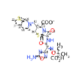 CC(C)(ON=C(C(=O)NC1C(=O)N2C(C(=O)[O-])=C(C[n+]3ccc4ccsc4c3)CS[C@@H]12)c1noc(N)n1)C(=O)O